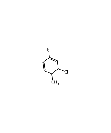 CC1C=CC(F)=CC1Cl